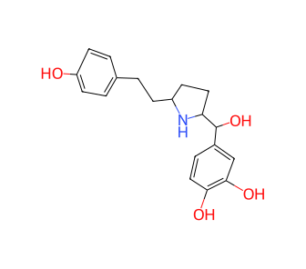 Oc1ccc(CCC2CCC(C(O)c3ccc(O)c(O)c3)N2)cc1